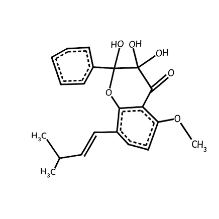 COc1ccc(C=CC(C)C)c2c1C(=O)C(O)(O)C(O)(c1ccccc1)O2